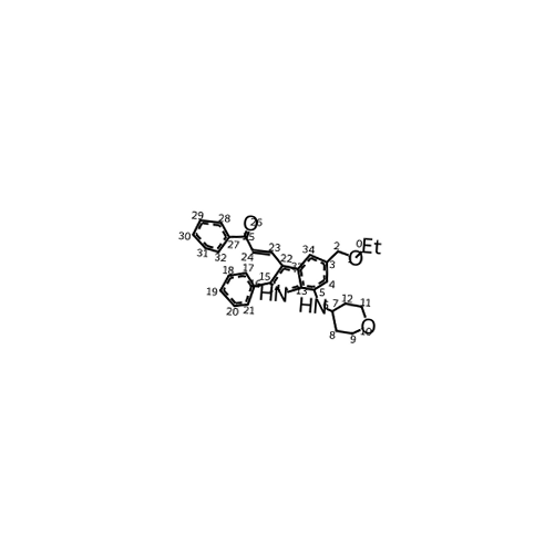 CCOCc1cc(NC2CCOCC2)c2[nH]c(-c3ccccc3)c(/C=C/C(=O)c3ccccc3)c2c1